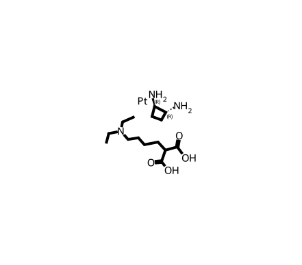 CCN(CC)CCCCC(C(=O)O)C(=O)O.N[C@@H]1CC[C@H]1N.[Pt]